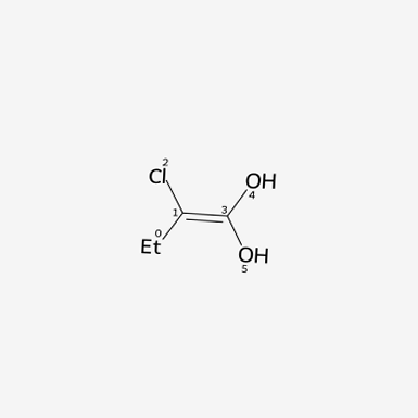 CCC(Cl)=C(O)O